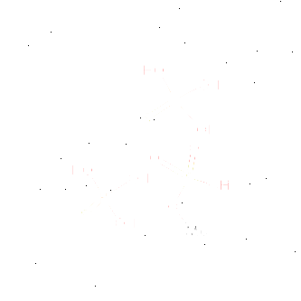 O=S(=O)(O)[O][Mo].OP(O)(O)=S.OP(O)(O)=S